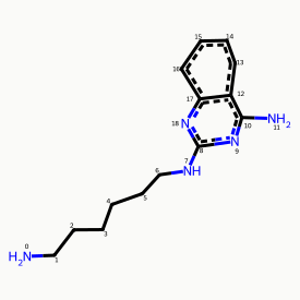 NCCCCCCNc1nc(N)c2ccccc2n1